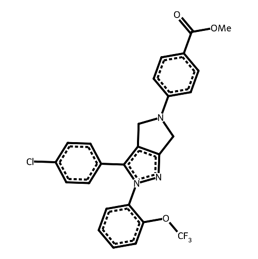 COC(=O)c1ccc(N2Cc3nn(-c4ccccc4OC(F)(F)F)c(-c4ccc(Cl)cc4)c3C2)cc1